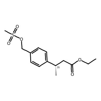 CCOC(=O)C[C@H](C)c1ccc(COS(C)(=O)=O)cc1